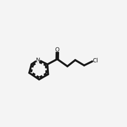 O=C(CCCCl)c1ccccn1